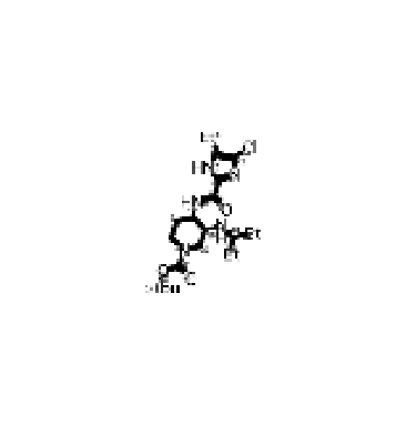 CCc1[nH]c(C(=O)N[C@@H]2CCN(C(=O)OC(C)(C)C)C[C@@H]2NC(CC)CC)nc1Cl